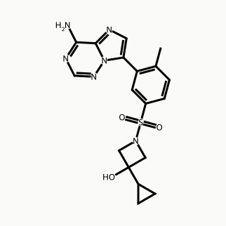 Cc1ccc(S(=O)(=O)N2CC(O)(C3CC3)C2)cc1-c1cnc2c(N)ncnn12